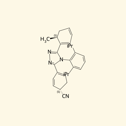 CC(C)c1cccc(C(C)C)c1-n1c(C2=CC[C@H](C#N)C=C2)nnc1C1=CC=CC[C@@H]1C